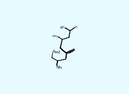 C=C(CC(CCC)CC(C)CCC)CC(CCC)CC(CC)CCC